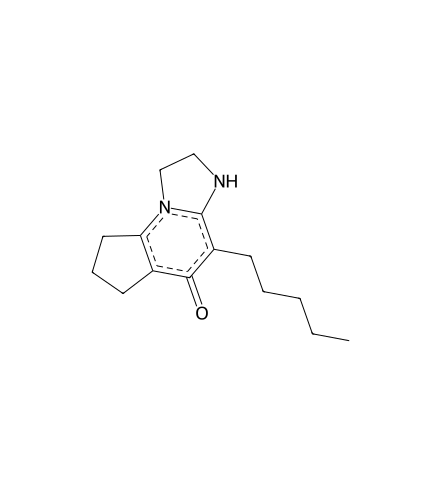 CCCCCc1c2n(c3c(c1=O)CCC3)CCN2